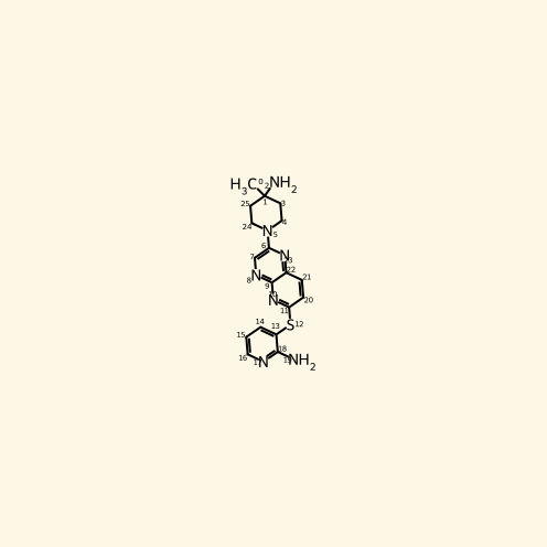 CC1(N)CCN(c2cnc3nc(Sc4cccnc4N)ccc3n2)CC1